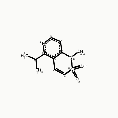 CC(C)c1nccc2c1C=CS(=O)(=O)N2C